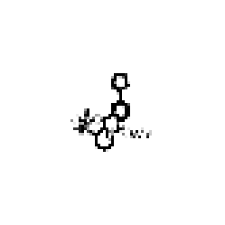 COC(=O)N1CCCC(NS(C)(=O)=O)C1Cc1cccc(C2=CCCC2)c1